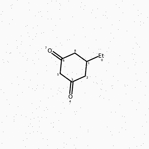 CCC1CC(=O)CC(=O)C1